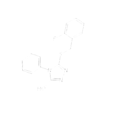 Oc1nnc(SCc2ccccc2F)n1-c1ccccc1